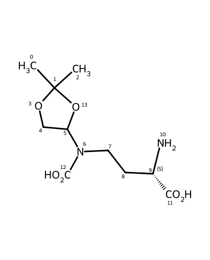 CC1(C)OCC(N(CC[C@H](N)C(=O)O)C(=O)O)O1